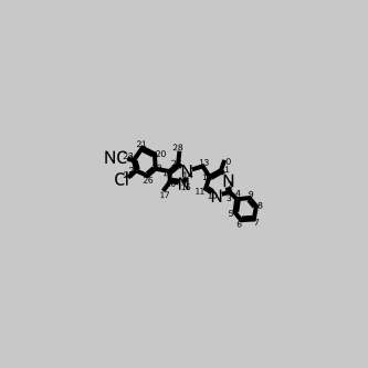 Cc1nc(-c2ccccc2)ncc1Cn1nc(C)c(-c2ccc(C#N)c(Cl)c2)c1C